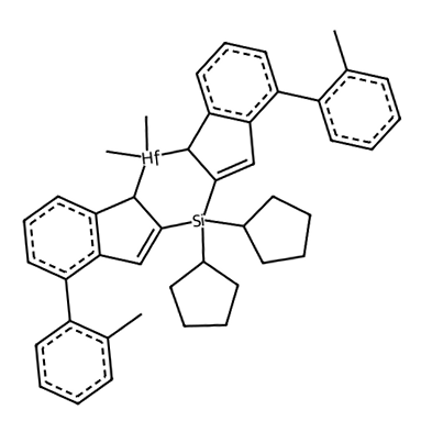 Cc1ccccc1-c1cccc2c1C=C1[CH]2[Hf]([CH3])([CH3])[CH]2C(=Cc3c(-c4ccccc4C)cccc32)[Si]1(C1CCCC1)C1CCCC1